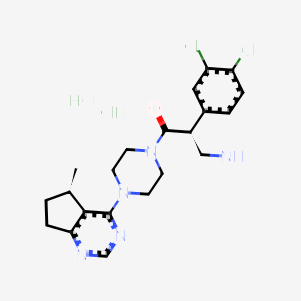 C[C@@H]1CCc2ncnc(N3CCN(C(=O)[C@H](CN)c4ccc(Cl)c(Cl)c4)CC3)c21.Cl.Cl